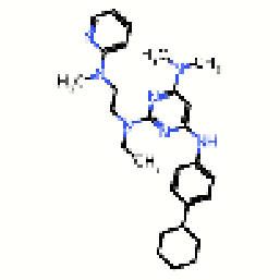 CCN(CCN(C)c1ccccn1)c1nc(Nc2ccc(C3CCCCC3)cc2)cc(N(C)C)n1